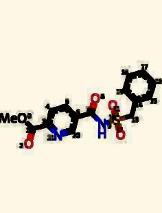 COC(=O)c1ccc(C(=O)NS(=O)(=O)Cc2ccccc2)cn1